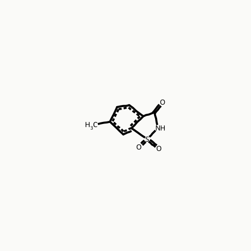 Cc1ccc2c(c1)S(=O)(=O)NC2=O